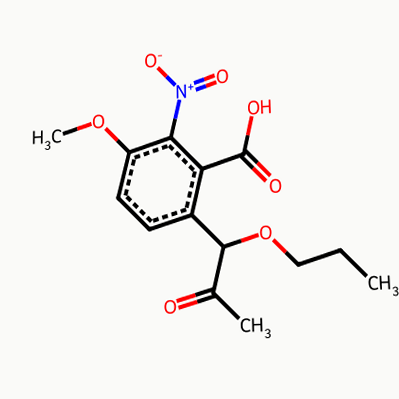 CCCOC(C(C)=O)c1ccc(OC)c([N+](=O)[O-])c1C(=O)O